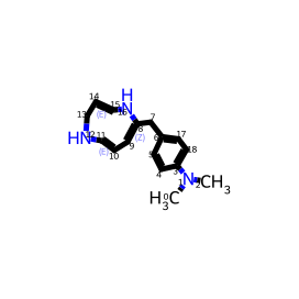 CN(C)c1ccc(C/C2=C/C=C/NC/C=C/N2)cc1